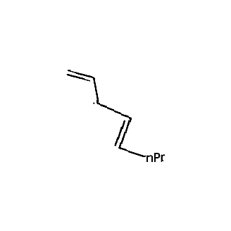 C=C[CH]/C=C/CCC